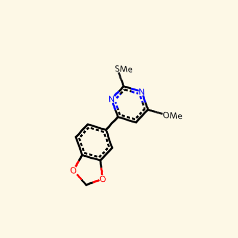 COc1cc(-c2ccc3c(c2)OCO3)nc(SC)n1